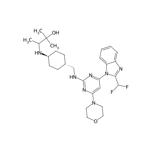 CC(N[C@H]1CC[C@H](CNc2nc(N3CCOCC3)cc(-n3c(C(F)F)nc4ccccc43)n2)CC1)C(C)(C)O